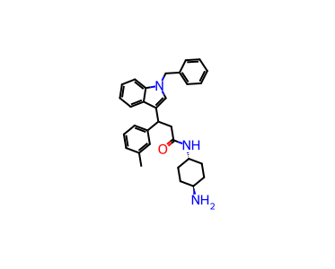 Cc1cccc(C(CC(=O)N[C@H]2CC[C@H](N)CC2)c2cn(Cc3ccccc3)c3ccccc23)c1